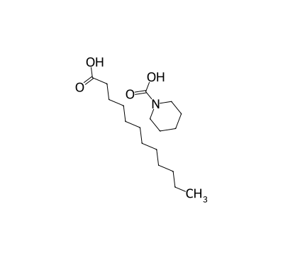 CCCCCCCCCCCC(=O)O.O=C(O)N1CCCCC1